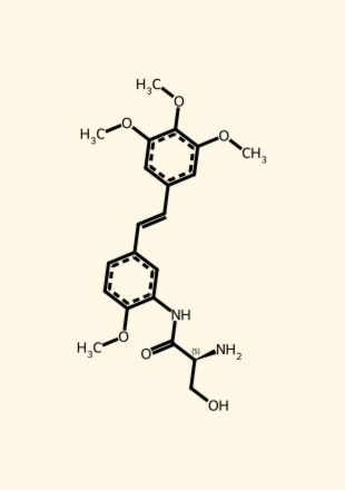 COc1ccc(C=Cc2cc(OC)c(OC)c(OC)c2)cc1NC(=O)[C@@H](N)CO